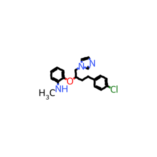 CNc1ccccc1OC(CCc1ccc(Cl)cc1)Cn1ccnc1